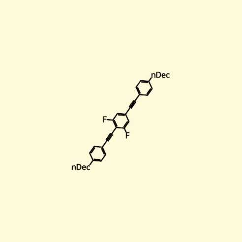 CCCCCCCCCCc1ccc(C#Cc2cc(F)c(C#Cc3ccc(CCCCCCCCCC)cc3)c(F)c2)cc1